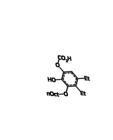 CCCCCCCCOc1c(O)c(OC(=O)O)cc(CC)c1CC